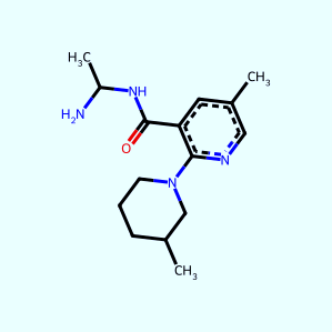 Cc1cnc(N2CCCC(C)C2)c(C(=O)NC(C)N)c1